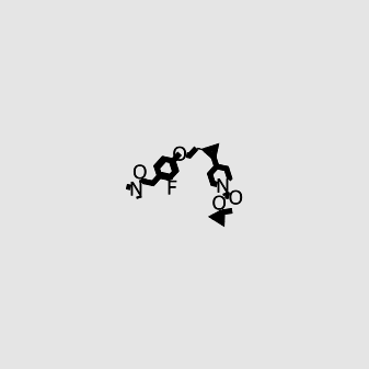 CN(C)C(=O)Cc1ccc(OCC[C@@H]2CC2C2CCN(C(=O)OC3(C)CC3)CC2)cc1F